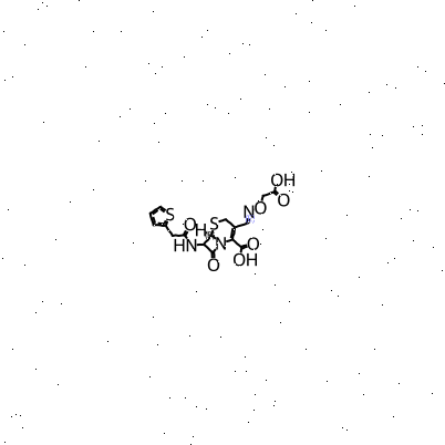 O=C(O)CO/N=C/C1=C(C(=O)O)N2C(=O)C(NC(=O)Cc3cccs3)[C@H]2SC1